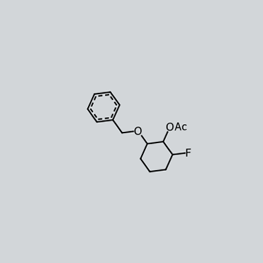 CC(=O)OC1C(F)CCCC1OCc1ccccc1